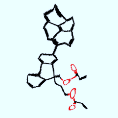 C=CC(=O)OCCCC1(COC(=O)C=C)c2ccccc2-c2ccc(-c3ccc4ccc5cccc6ccc3c4c56)cc21